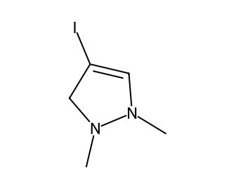 CN1C=C(I)CN1C